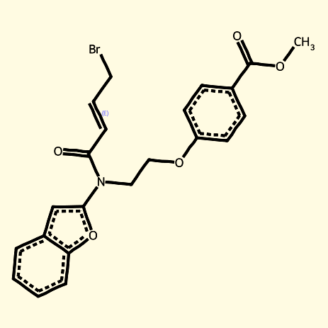 COC(=O)c1ccc(OCCN(C(=O)/C=C/CBr)c2cc3ccccc3o2)cc1